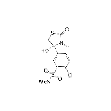 CNS(=O)(=O)c1cc(C2(O)CSC(=O)N2C)ccc1Cl